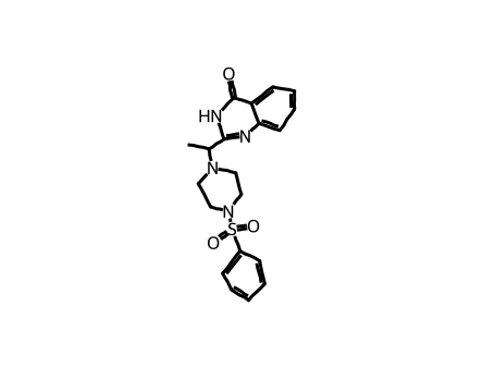 CC(c1nc2ccccc2c(=O)[nH]1)N1CCN(S(=O)(=O)c2ccccc2)CC1